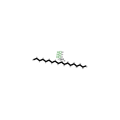 CCCCCCCCCCCCCCCCCC.Cl.Cl.Cl.[SiH4]